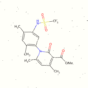 COC(=O)c1c(C)cc(C)n(-c2cc(NS(=O)(=O)C(F)(F)F)c(C)cc2C)c1=O